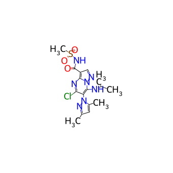 Cc1cc(C)n(-c2c(Cl)nc3c(C(=O)NS(C)(=O)=O)cnn3c2NC(C)C)n1